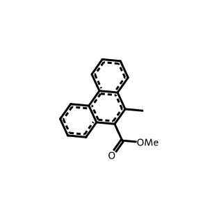 COC(=O)c1c(C)c2ccccc2c2ccccc12